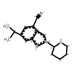 CC(C)c1cc(C#N)c2cn(C3CCCCO3)nc2c1